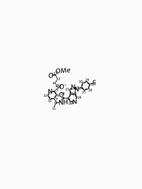 COC(=O)CC[S+]([O-])c1cc([C@H](C)NC(=O)c2cncc3c2cnn3-c2ccc(F)cc2)ccn1